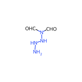 NNNN(C=O)C=O